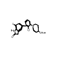 COC1CCN(c2cccc(-c3cc(F)c4c(c3)CC(=O)N4)c2Cl)CC1